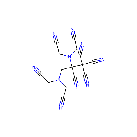 N#CCN(CC#N)CC(C#N)(N(CC#N)CC#N)C(C#N)(C#N)C#N